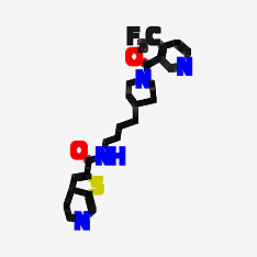 O=C(NCCCCC1CCN(C(=O)c2cnccc2C(F)(F)F)CC1)C1=CC2CC=NC=C2S1